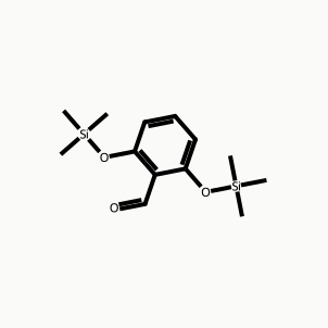 C[Si](C)(C)Oc1cccc(O[Si](C)(C)C)c1C=O